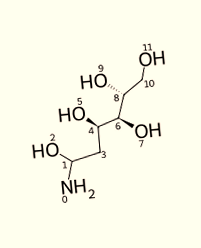 NC(O)C[C@@H](O)[C@H](O)[C@H](O)CO